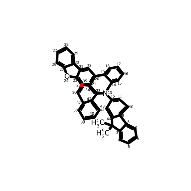 CC1(C)c2ccccc2-c2ccc(N(c3ccccc3-c3ccc4oc5ccccc5c4c3)c3cccc4ccccc34)cc21